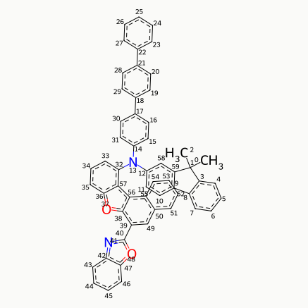 CC1(C)c2ccccc2-c2ccc(N(c3ccc(-c4ccc(-c5ccccc5)cc4)cc3)c3cccc4oc5c(-c6nc7ccccc7o6)cc6ccccc6c5c34)cc21